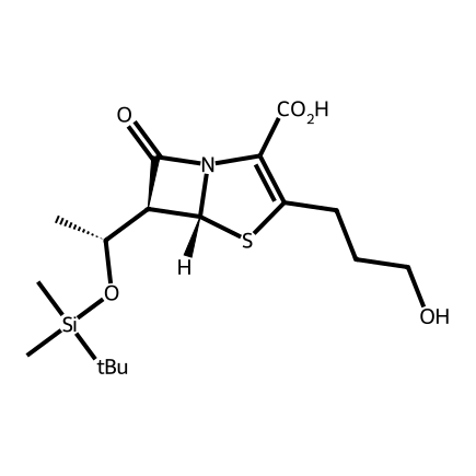 C[C@@H](O[Si](C)(C)C(C)(C)C)[C@H]1C(=O)N2C(C(=O)O)=C(CCCO)S[C@H]12